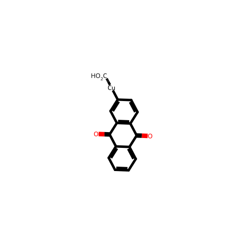 O=[C](O)[Cu][c]1ccc2c(c1)C(=O)c1ccccc1C2=O